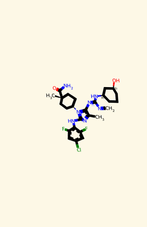 C=N/C(=N\c1c(C)nc(Nc2c(F)cc(Cl)cc2F)n1[C@H]1CC[C@@](C)(C(N)=O)CC1)N[C@@H]1CCC[C@H](O)C1